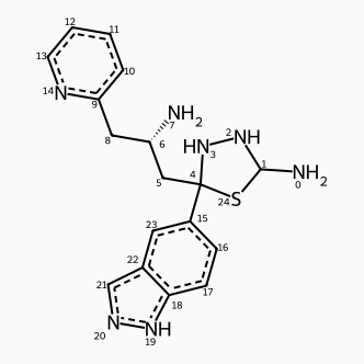 NC1NNC(C[C@@H](N)Cc2ccccn2)(c2ccc3[nH]ncc3c2)S1